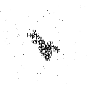 COCc1cc(C(=O)NC2(c3ccc(CN4CC(F)C4)c(OC)n3)C=CC=C(c3ccccc3Cl)C2Cl)ncc1CNCC(C)O